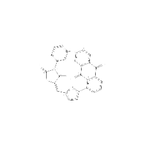 O=C1c2ccccc2C(=O)c2c1cccc2-c1ccc(C=C2SC(=S)N(c3ccccc3)C2=O)o1